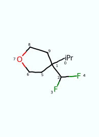 CC(C)C1(C(F)F)CCOCC1